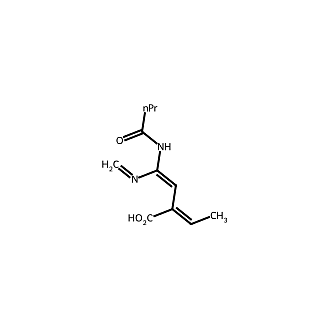 C=N/C(=C\C(=C/C)C(=O)O)NC(=O)CCC